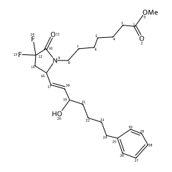 COC(=O)CCCCCCN1C(=O)C(F)(F)CC1C=CC(O)CCCCc1ccccc1